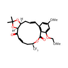 COCOc1cc(OC)cc2c1C(=O)O[C@@H](C(F)(F)F)C/C=C\C(=O)[C@H]1OC(C)(C)O[C@H]1C/C=C/2